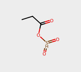 CCC(=O)O[SH](=O)=O